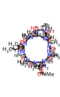 C/C=C/C[C@@H](C)[C@H]1ON2C(=O)[C@H](C(C)C)N(C)C(=O)[C@@H]3CC(C)N(C(=O)[C@H](C)NC(=O)[C@H](CC(C)C)N(C)C(=O)[C@H](C(C)C)NC(=O)[C@H](C(C)(C)COC(=O)NC)N(C)C(=O)[C@@H](C)N(C)C(=O)[C@H](CCC)NC(=O)[C@H]12)[C@H](C)C(=O)N(C)[C@@H](CC(C)C)C(O)N3C